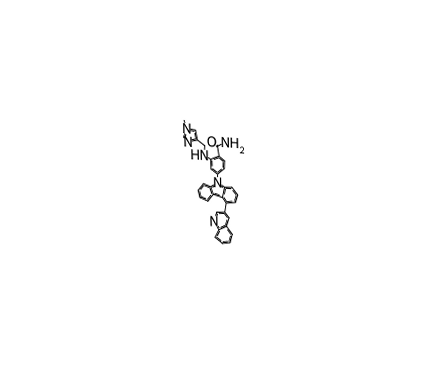 Cn1cnc(CNc2cc(-n3c4ccccc4c4c(-c5cnc6ccccc6c5)cccc43)ccc2C(N)=O)c1